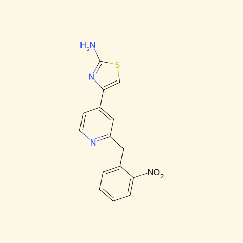 Nc1nc(-c2ccnc(Cc3ccccc3[N+](=O)[O-])c2)cs1